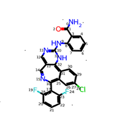 NC(=O)c1cc[c]cc1NC1=NC=C2C=NC(c3c(F)cccc3F)=c3cc(Cl)ccc3=C2N1